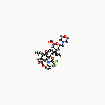 CCN(C(=O)C(F)(F)F)c1c(C/C=C(\C)C(CCCN2CCOCC2)CC(=O)O)c(OC)c(C)c2c1C(=O)OC2